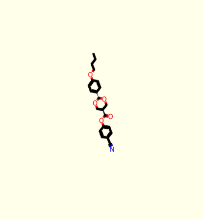 CCCCOc1ccc([C@H]2OC[C@H](C(=O)Oc3ccc(C#N)cc3)CO2)cc1